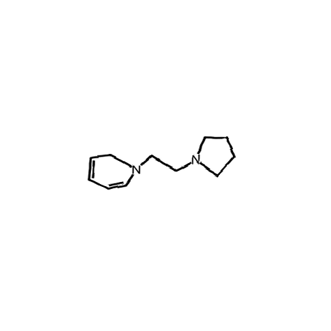 C1=CCN(CCN2CCCC2)C=C1